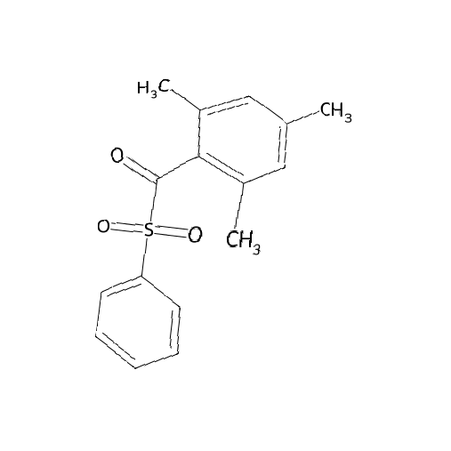 Cc1cc(C)c(C(=O)S(=O)(=O)c2ccccc2)c(C)c1